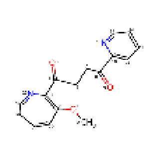 COC1=C(C(=O)CCC(=O)c2ccccn2)N=CCC=C1